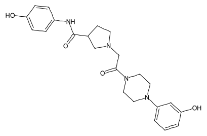 O=C(Nc1ccc(O)cc1)C1CCN(CC(=O)N2CCN(c3cccc(O)c3)CC2)C1